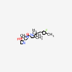 C=C(O)[C@@H]1CN(C(=O)c2ccc(C)c(C(C)(C)CCCc3ccc(C)c(F)c3)n2)CC[C@@H]1c1ccccn1